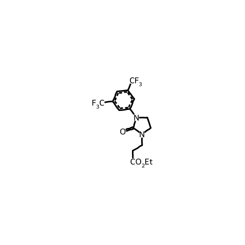 CCOC(=O)CCN1CCN(c2cc(C(F)(F)F)cc(C(F)(F)F)c2)C1=O